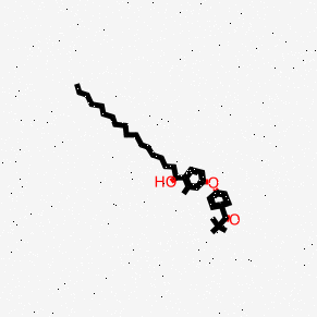 CCCCCCCCCCCCCCCCCC(O)c1ccc(Oc2ccc(C(=O)C(C)(C)C)cc2)cc1C